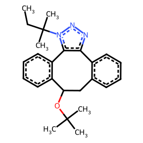 CCC(C)(C)n1nnc2c1-c1ccccc1C(OC(C)(C)C)Cc1ccccc1-2